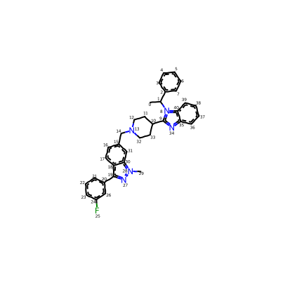 CC(c1ccccc1)n1c(C2CCN(Cc3ccc4c(-c5cccc(F)c5)nn(C)c4c3)CC2)nc2ccccc21